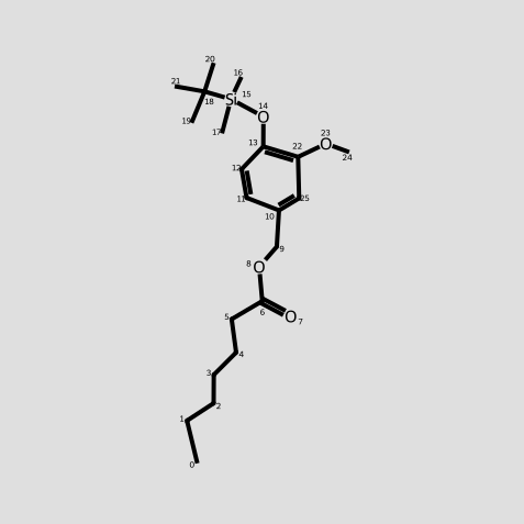 CCCCCCC(=O)OCc1ccc(O[Si](C)(C)C(C)(C)C)c(OC)c1